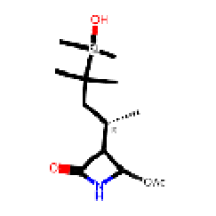 CC(=O)OC1NC(=O)C1[C@@H](C)CC(C)(C)[Si](C)(C)O